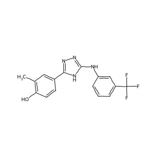 Cc1cc(-c2nnc(Nc3cccc(C(F)(F)F)c3)[nH]2)ccc1O